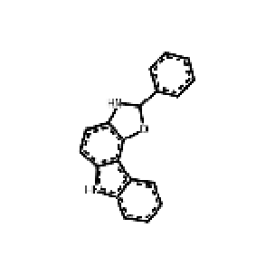 c1ccc(C2Nc3ccc4[nH]c5ccccc5c4c3O2)cc1